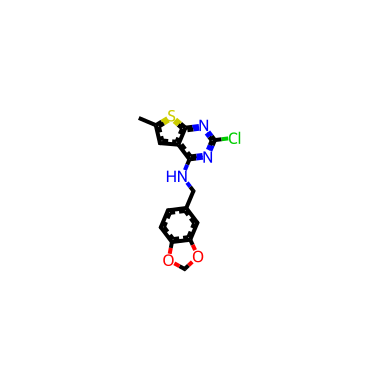 Cc1cc2c(NCc3ccc4c(c3)OCO4)nc(Cl)nc2s1